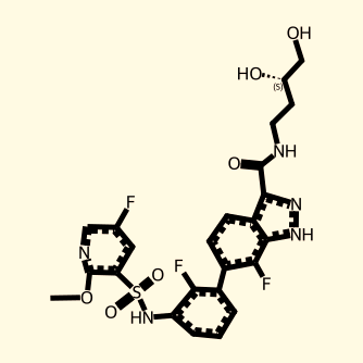 COc1ncc(F)cc1S(=O)(=O)Nc1cccc(-c2ccc3c(C(=O)NCC[C@H](O)CO)n[nH]c3c2F)c1F